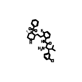 CC(C)C(c1cccc(Cl)c1)[C@H](N)C(=O)Nc1cccc(F)c1CC[C@H]1CNC[C@H](C)N1S(=O)(=O)c1ccccc1